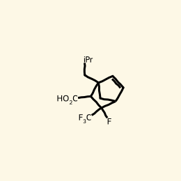 CC(C)CC12C=CC(C1)C(F)(C(F)(F)F)C2C(=O)O